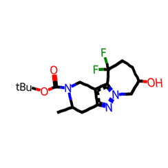 CC1Cc2nn3c(c2CN1C(=O)OC(C)(C)C)C(F)(F)CCC(O)C3